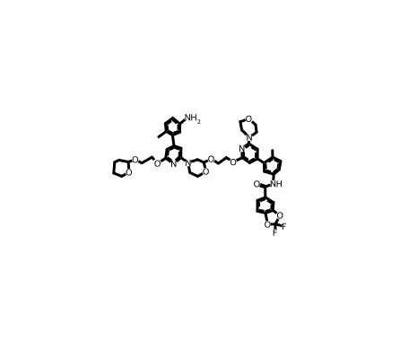 Cc1ccc(N)cc1-c1cc(OCCOC2CCCCO2)nc(N2CCOC(OCCOc3cc(-c4cc(NC(=O)c5ccc6c(c5)OC(F)(F)O6)ccc4C)cc(N4CCOCC4)n3)C2)c1